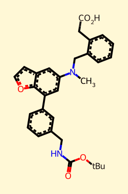 CN(Cc1ccccc1CC(=O)O)c1cc(-c2cccc(CNC(=O)OC(C)(C)C)c2)c2occc2c1